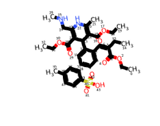 CCOC(=O)C(=Cc1ccccc1C1C(C(=O)OCC)=C(C)NC(CNC)=C1C(=O)OCC)CC.Cc1ccc(S(=O)(=O)O)cc1